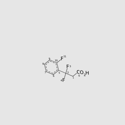 O=C(O)CC(F)(F)c1ccccc1F